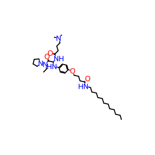 CCCCCCCCCCCCNC(=O)CCCOc1ccc(NC(NC(=O)CCCN(C)C)C(=O)N(CC)N2CCCC2)cc1